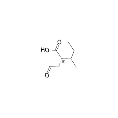 CCC(C)[C@H](CC=O)C(=O)O